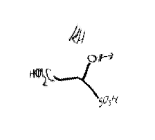 O=C(O)C(O)S(=O)(=O)O.[KH].[KH]